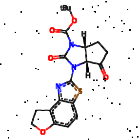 CC(C)(C)OC(=O)N1C(=O)N(c2nc3c4c(ccc3s2)OCC4)[C@H]2C(=O)CC[C@H]21